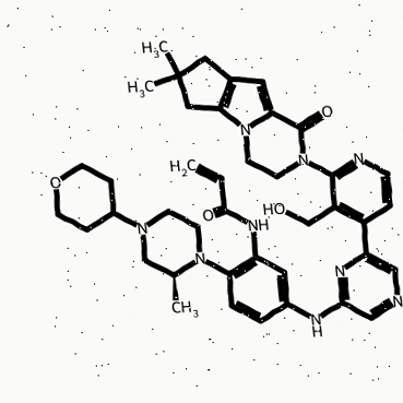 C=CC(=O)Nc1cc(Nc2cncc(-c3ccnc(N4CCn5c(cc6c5CC(C)(C)C6)C4=O)c3CO)n2)ccc1N1CCN(C2CCOCC2)C[C@@H]1C